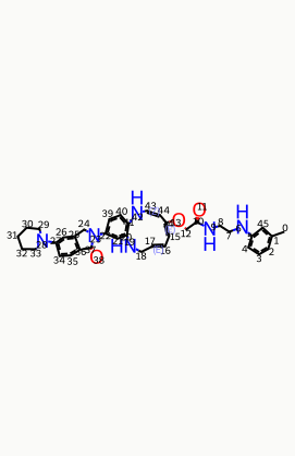 Cc1cccc(NCCNC(=O)COC2=C/C=C/CNc3cc(N4Cc5cc(N6CCCCC6)ccc5C4=O)ccc3N/C=C\2)c1